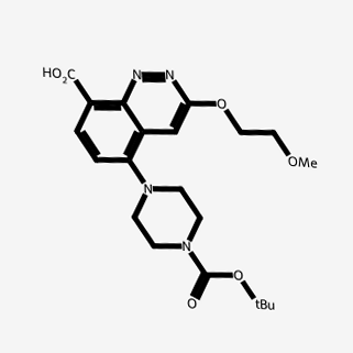 COCCOc1cc2c(N3CCN(C(=O)OC(C)(C)C)CC3)ccc(C(=O)O)c2nn1